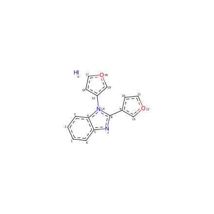 I.c1ccc2c(c1)nc(-c1ccoc1)n2-c1ccoc1